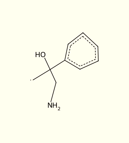 [CH2]C(O)(CN)c1ccccc1